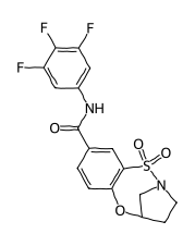 O=C(Nc1cc(F)c(F)c(F)c1)c1ccc2c(c1)S(=O)(=O)N1CCC(C1)O2